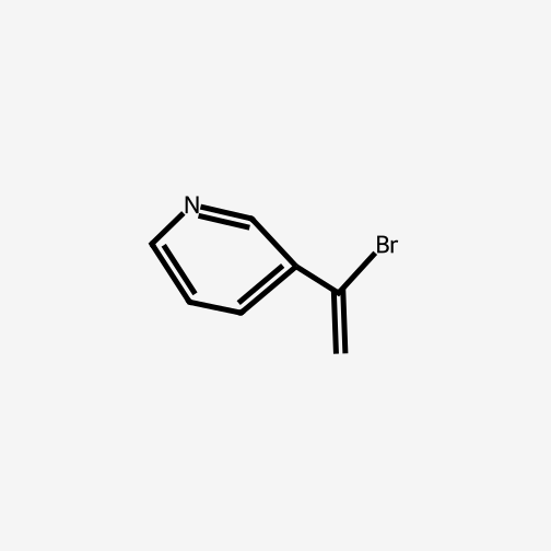 C=C(Br)c1cccnc1